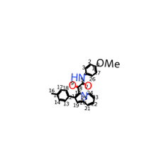 COc1ccc(NC(=O)C(=O)c2c(-c3ccc(C)cc3)cc3ccccn23)cc1